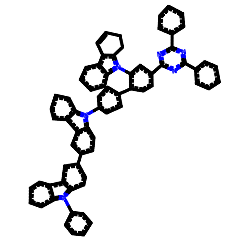 C1=Cc2c(n(-c3cc(-c4nc(-c5ccccc5)nc(-c5ccccc5)n4)ccc3-c3ccc(-n4c5ccccc5c5cc(-c6ccc7c(c6)c6ccccc6n7-c6ccccc6)ccc54)cc3)c3ccccc23)CC1